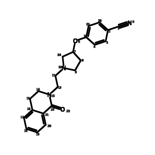 N#Cc1ccc(OC2CCN(CCN3CCc4ccccc4C3=O)C2)cc1